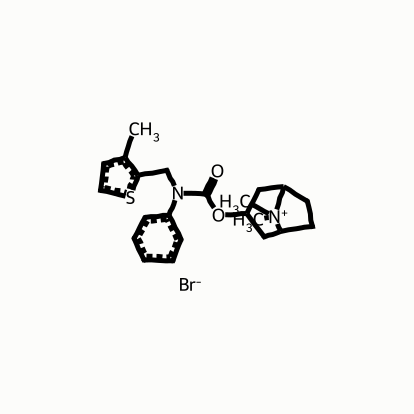 Cc1ccsc1CN(C(=O)OC1CC2CCC(C1)[N+]2(C)C)c1ccccc1.[Br-]